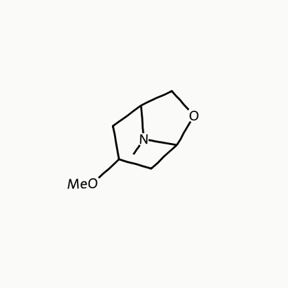 COC1CC2COC(C1)N2C